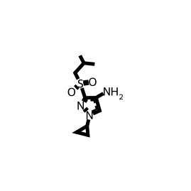 CC(C)CS(=O)(=O)c1nn(C2CC2)cc1N